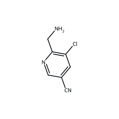 N#Cc1cnc(CN)c(Cl)c1